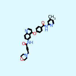 Cc1ccnc(NC(=O)c2ccc(Oc3ccnc4ccc(NC(=O)C#CCN5CCOCC5)cc34)cc2)c1